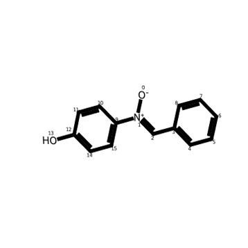 [O-][N+](=Cc1ccccc1)c1ccc(O)cc1